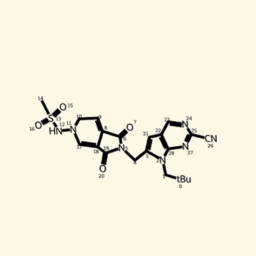 CC(C)(C)Cn1c(CN2C(=O)C3=CCN(NS(C)(=O)=O)C=C3C2=O)cc2cnc(C#N)nc21